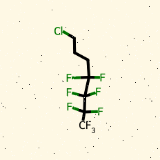 FC(F)(F)C(F)(F)C(F)(F)C(F)(F)CCCCl